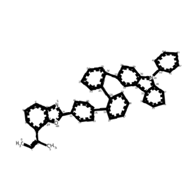 C/C=C(/C)c1cccc2nc(-c3ccc(-c4ccccc4-c4ccccc4-c4ccc5c(c4)c4ccccc4n5-c4ccccc4)cc3)oc12